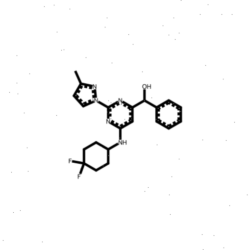 Cc1ccn(-c2nc(NC3CCC(F)(F)CC3)cc(C(O)c3ccccc3)n2)n1